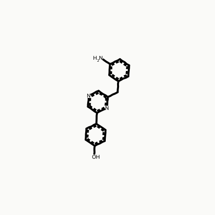 Nc1cccc(Cc2cncc(-c3ccc(O)cc3)n2)c1